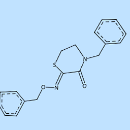 O=C1C(=NOCc2ccccc2)SCCN1Cc1ccccc1